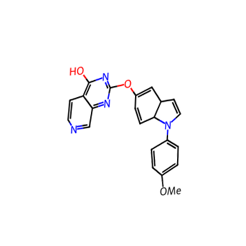 COc1ccc(N2C=CC3C=C(Oc4nc(O)c5ccncc5n4)C=CC32)cc1